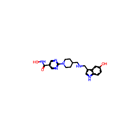 O=C(NO)c1cnc(N2CCC(CNCc3c[nH]c4ccc(O)cc34)CC2)nc1